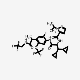 CC(C(=O)NCC(F)(F)F)c1cc(F)c(NC(=O)[C@@H](NC(=O)c2ccnn2C(C)C)C(C2CC2)C2CC2)cc1OC(F)(F)F